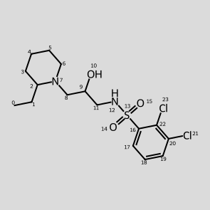 CCC1CCCCN1CC(O)CNS(=O)(=O)c1cccc(Cl)c1Cl